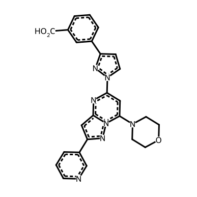 O=C(O)c1cccc(-c2ccn(-c3cc(N4CCOCC4)n4nc(-c5cccnc5)cc4n3)n2)c1